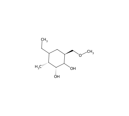 CCC1C[C@@H](COC)C(O)[C@H](O)[C@@H]1C